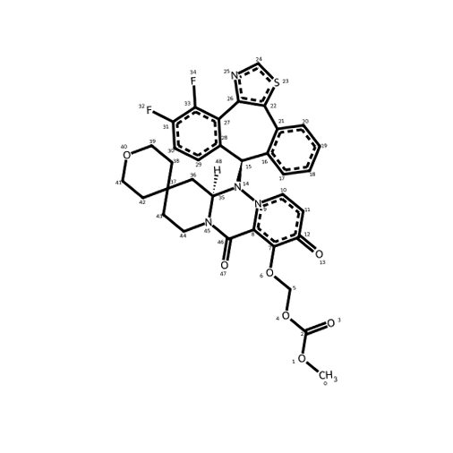 COC(=O)OCOc1c2n(ccc1=O)N([C@@H]1c3ccccc3-c3scnc3-c3c1ccc(F)c3F)[C@@H]1CC3(CCOCC3)CCN1C2=O